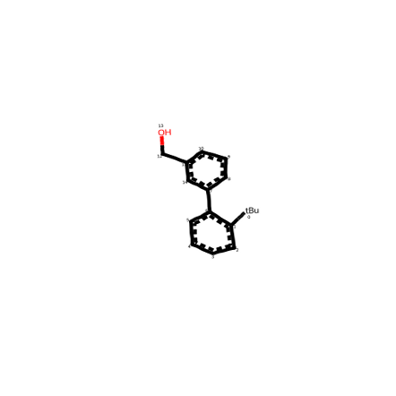 CC(C)(C)c1ccccc1-c1cccc(CO)c1